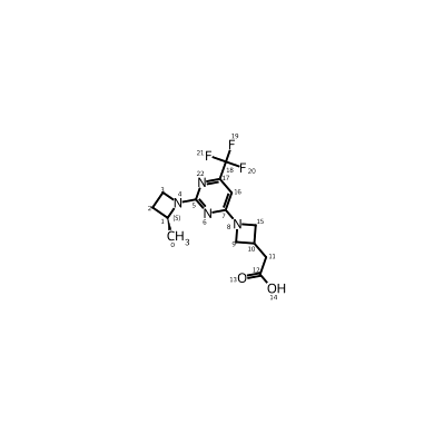 C[C@H]1CCN1c1nc(N2CC(CC(=O)O)C2)cc(C(F)(F)F)n1